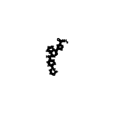 NC(=O)c1cc(-c2cnc(Nc3ccc(N4CCOCC4)nc3)c3ncnn23)cs1